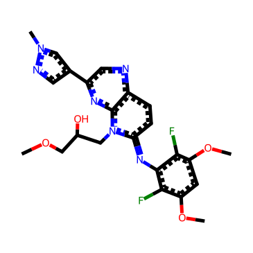 COCC(O)Cn1c(=Nc2c(F)c(OC)cc(OC)c2F)ccc2ncc(-c3cnn(C)c3)nc21